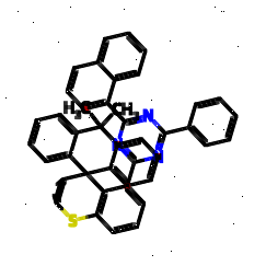 CC1(C)c2ccccc2C2(c3ccccc3Sc3cccc(-c4nc(-c5ccccc5)nc(-c5cccc6ccccc56)n4)c32)c2ccccc21